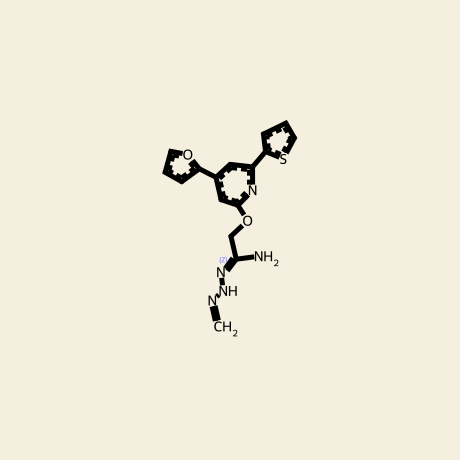 C=NN/N=C(\N)COc1cc(-c2ccco2)cc(-c2cccs2)n1